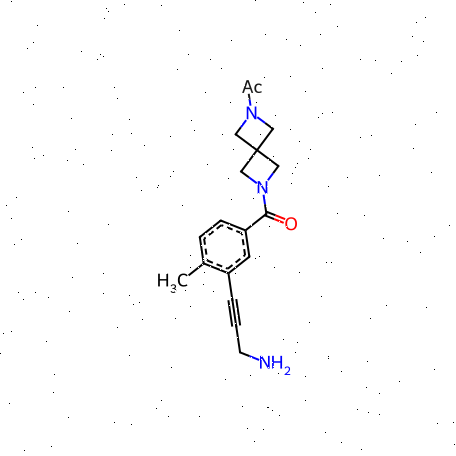 CC(=O)N1CC2(C1)CN(C(=O)c1ccc(C)c(C#CCN)c1)C2